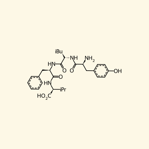 CC[C@H](C)[C@H](NC(=O)[C@@H](N)Cc1ccc(O)cc1)C(=O)N[C@H](Cc1ccccc1)C(=O)N[C@H](C(=O)O)C(C)C